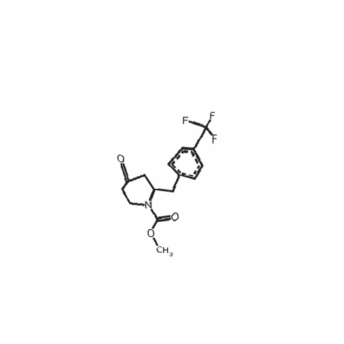 COC(=O)N1CCC(=O)CC1Cc1ccc(C(F)(F)F)cc1